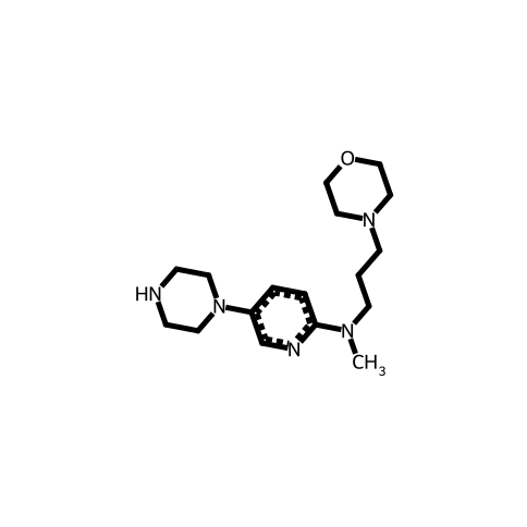 CN(CCCN1CCOCC1)c1ccc(N2CCNCC2)cn1